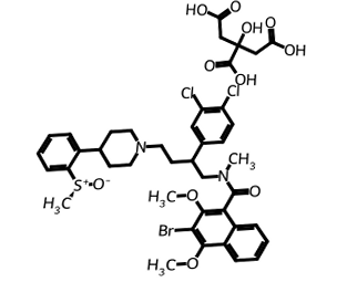 COc1c(Br)c(OC)c2ccccc2c1C(=O)N(C)CC(CCN1CCC(c2ccccc2[S@+](C)[O-])CC1)c1ccc(Cl)c(Cl)c1.O=C(O)CC(O)(CC(=O)O)C(=O)O